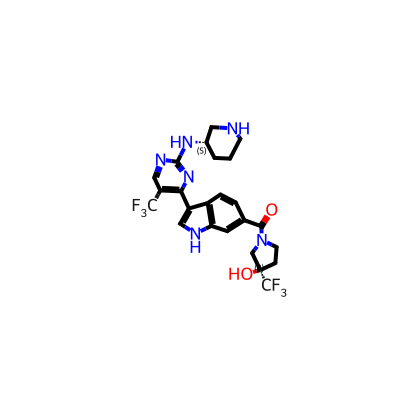 O=C(c1ccc2c(-c3nc(N[C@H]4CCCNC4)ncc3C(F)(F)F)c[nH]c2c1)N1CC[C@](O)(C(F)(F)F)C1